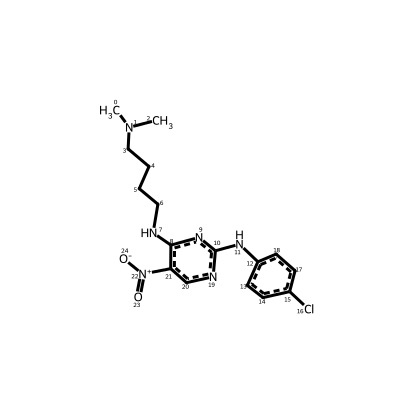 CN(C)CCCCNc1nc(Nc2ccc(Cl)cc2)ncc1[N+](=O)[O-]